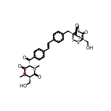 CN1C(=O)[C@]2(CO)SS[C@@]1(C(=O)c1ccc(/C=C/c3ccc(C[C@@]45SS[C@@](CO)(C(=O)N4C)N(C)C5=O)cc3)cc1)C(=O)N2C